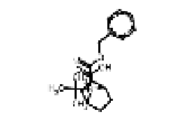 CC(C)(C)[N+]1(C(=O)O)C2CCC1C(C(=O)OCc1ccccc1)C2